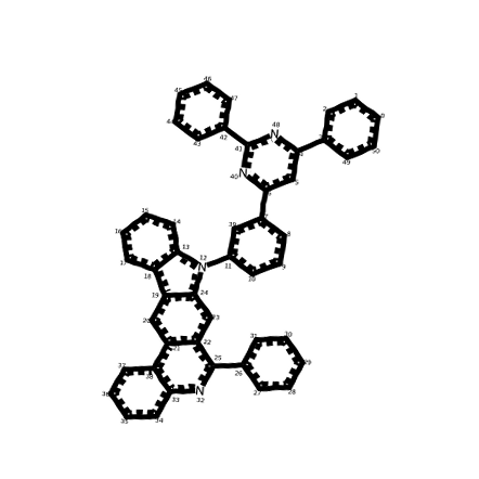 c1ccc(-c2cc(-c3cccc(-n4c5ccccc5c5cc6c(cc54)c(-c4ccccc4)nc4ccccc46)c3)nc(-c3ccccc3)n2)cc1